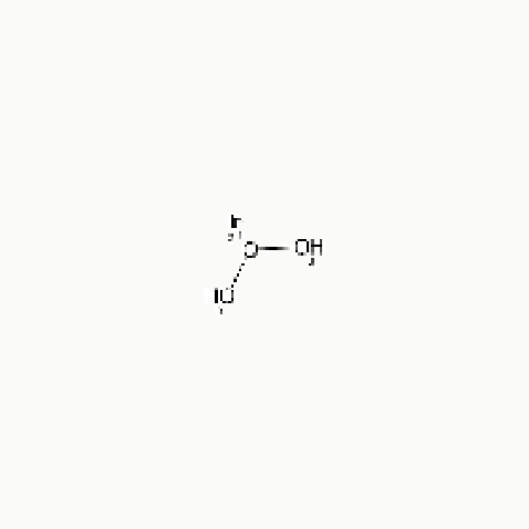 OOO.[Ir]